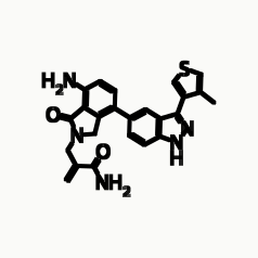 C=C(CN1Cc2c(-c3ccc4[nH]nc(-c5cscc5C)c4c3)ccc(N)c2C1=O)C(N)=O